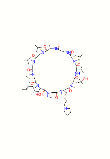 C/C=C/C[C@@H](C)[C@@H](O)[C@H]1C(=O)N[C@@H](CC)C(=O)N(C)[C@H](CSCCN2CCCC2)C(=O)N(C)[C@@H](CC(C)(C)O)C(=O)N[C@@H](C(C)C)C(=O)N(C)[C@@H](CC(C)C)C(=O)N[C@@H](C)C(=O)N[C@H](C)C(=O)N(C)[C@@H](CC(C)C)C(=O)N(C)[C@@H](CC(C)C)C(=O)N(C)[C@@H](C(C)C)C(=O)N1C